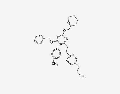 CCCc1ccc(CCc2nc(OCC3CCCCO3)cc(OCc3ccccc3)c2-c2ccc(C)cc2)cc1